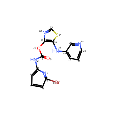 O=C(Nc1cccc(Br)n1)Oc1ncsc1Nc1cccnc1